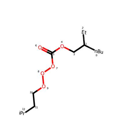 CCCCC(CC)COC(=O)OOOCCC(C)C